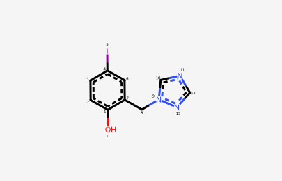 Oc1ccc(I)cc1Cn1cncn1